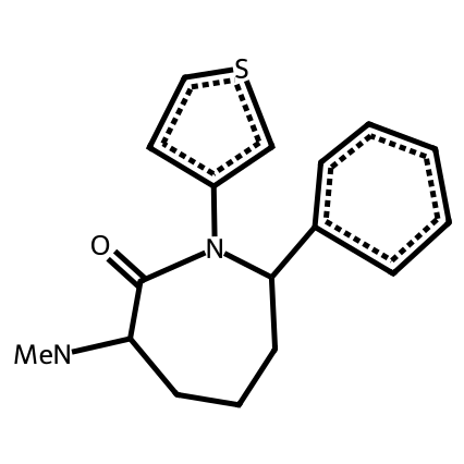 CNC1CCCC(c2ccccc2)N(c2ccsc2)C1=O